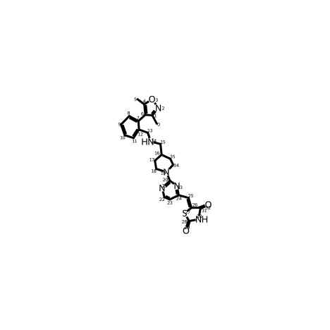 Cc1noc(C)c1-c1ccccc1CNCC1CCN(c2nccc(/C=C3\SC(=O)NC3=O)n2)CC1